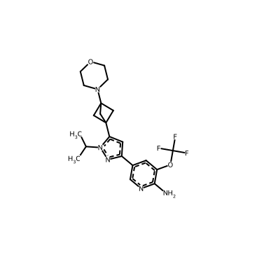 CC(C)n1nc(-c2cnc(N)c(OC(F)(F)F)c2)cc1C12CC(N3CCOCC3)(C1)C2